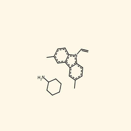 C=Cn1c2ccc(C)cc2c2cc(C)ccc21.NC1CCCCC1